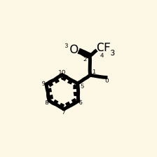 CC(C(=O)C(F)(F)F)c1ccccc1